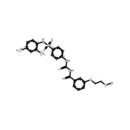 CCOCCOc1cccc(C(=O)NC(=S)Nc2ccc(S(=O)(=O)Nc3ccc(C)cc3C)cc2)c1